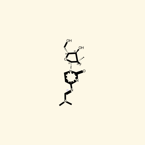 CN(C)/C=N/c1ccn([C@@H]2O[C@H](CO)[C@@H](O)[C@@]2(C)F)c(=O)n1